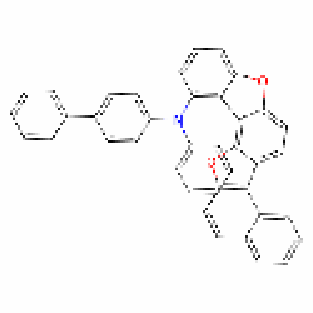 c1ccc(-c2ccc(N(c3ccccc3)c3cccc4oc5ccc6c(oc7ccc8ccccc8c76)c5c34)cc2)cc1